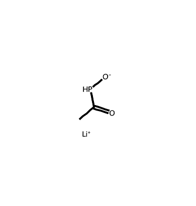 CC(=O)P[O-].[Li+]